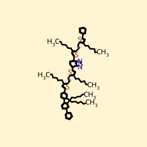 CCCCCCc1cc(-c2ccccc2)sc1/C=C/c1sc(-c2ccc(-c3cc(CCCCCC)c(/C=C/c4sc(-c5ccc6c(c5)C(CCCCCC)(CCCCCC)c5cc(-c7ccccc7)ccc5-6)cc4CCCCCC)s3)c3nsnc23)cc1CCCCCC